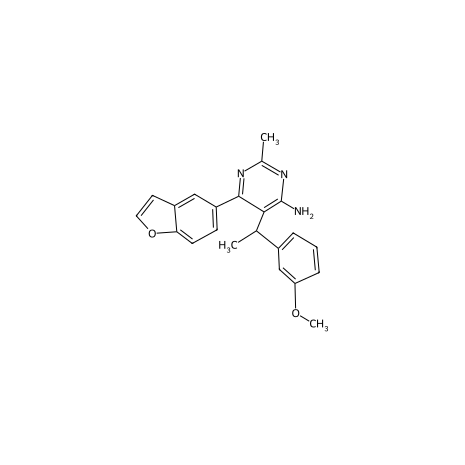 COc1cccc(C(C)c2c(N)nc(C)nc2-c2ccc3occc3c2)c1